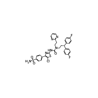 NS(=O)(=O)c1ccc(-c2nc(NC(=O)N(CCc3ncccn3)CCC(c3ccc(F)cc3)c3ccc(F)cc3)sc2Cl)cc1